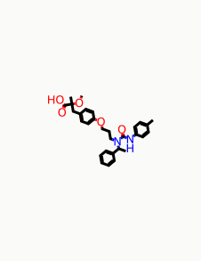 COC(C)(Cc1ccc(OCCCN(C(=O)Nc2ccc(C)cc2)C(C)c2ccccc2)cc1)C(=O)O